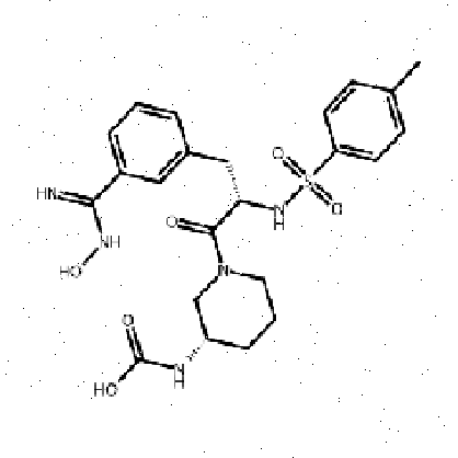 Cc1ccc(S(=O)(=O)N[C@@H](Cc2cccc(C(=N)NO)c2)C(=O)N2CCC[C@H](NC(=O)O)C2)cc1